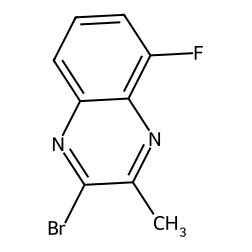 Cc1nc2c(F)cccc2nc1Br